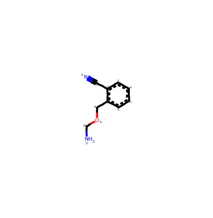 N#Cc1ccccc1COCN